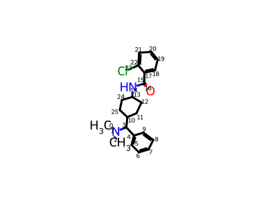 CN(C)C(c1ccccc1)C1CCC(NC(=O)c2ccccc2Cl)CC1